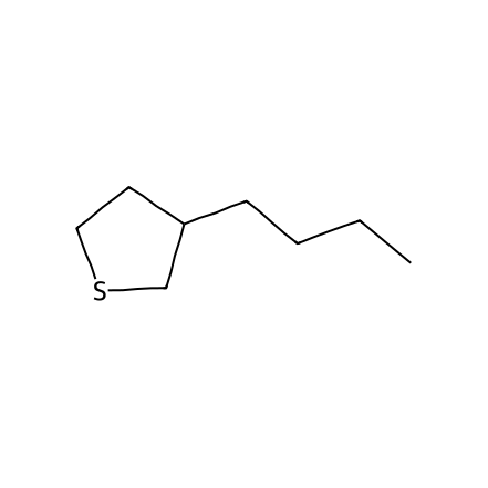 CCCCC1CCSC1